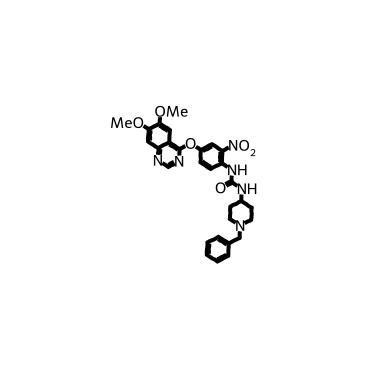 COc1cc2ncnc(Oc3ccc(NC(=O)NC4CCN(Cc5ccccc5)CC4)c([N+](=O)[O-])c3)c2cc1OC